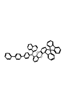 c1ccc(-c2ccc(-c3ccc(N(c4cccc5c4Oc4ccc6c(c4O5)-c4ccccc4C64c5ccccc5-c5ccccc54)c4cccc5ccccc45)cc3)cc2)cc1